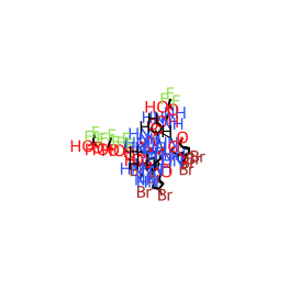 N=C1N[C@@H]2O[C@@H]3NC(=N)N[C@]34[C@H]([C@H](CNC(=O)c3cc(Br)c(Br)[nH]3)[C@@H](CNC(=O)c3cc(Br)c(Br)[nH]3)[C@@H]4O[C@H]3[C@H](CNC(=O)c4cc(Br)c(Br)[nH]4)[C@@H](CNC(=O)c4cc(Br)c(Br)[nH]4)[C@@H]4[C@]5(O)NC(=N)N[C@@H]5O[C@@H]5NC(=N)N[C@]453)[C@]2(O)N1.O=C(O)C(F)(F)F.O=C(O)C(F)(F)F.O=C(O)C(F)(F)F.O=C(O)C(F)(F)F